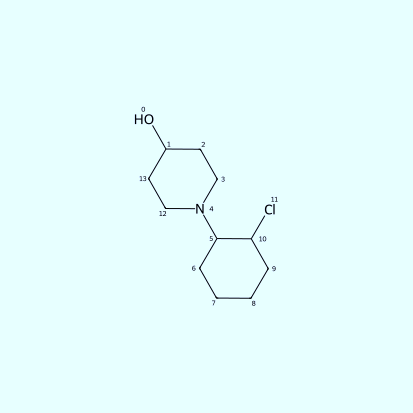 OC1CCN(C2CCCCC2Cl)CC1